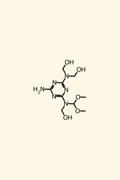 COC(OC)N(CO)c1nc(N)nc(N(CO)CO)n1